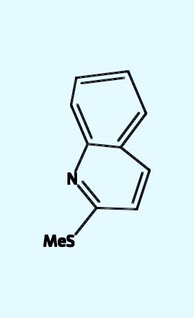 [CH2]Sc1ccc2ccccc2n1